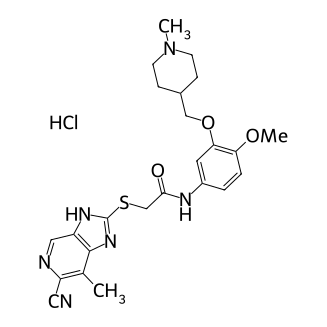 COc1ccc(NC(=O)CSc2nc3c(C)c(C#N)ncc3[nH]2)cc1OCC1CCN(C)CC1.Cl